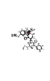 CCCC(=O)O[C@@H](C(=O)OC1=CC[C@@]2(O)[C@H]3Cc4ccc(CO)c5c4C2(CCN3C)C1O5)c1ccccc1